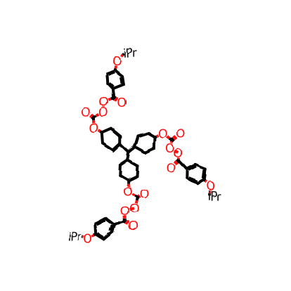 CC(C)Oc1ccc(C(=O)OOC(=O)OC2CCC(C(C3CCC(OC(=O)OOC(=O)c4ccc(OC(C)C)cc4)CC3)C3CCC(OC(=O)OOC(=O)c4ccc(OC(C)C)cc4)CC3)CC2)cc1